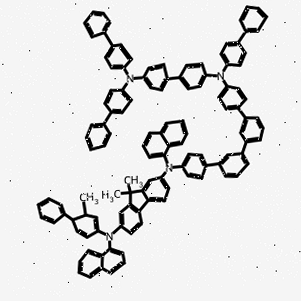 CC1C=C(N(c2ccc3c(c2)C(C)(C)c2cc(N(c4ccc(-c5cccc(-c6cccc(-c7ccc(N(c8ccc(-c9ccccc9)cc8)c8ccc(-c9ccc(N(c%10ccc(-c%11ccccc%11)cc%10)c%10ccc(-c%11ccccc%11)cc%10)cc9)cc8)cc7)c6)c5)cc4)c4cccc5ccccc45)ccc2-3)c2cccc3ccccc23)C=CC1c1ccccc1